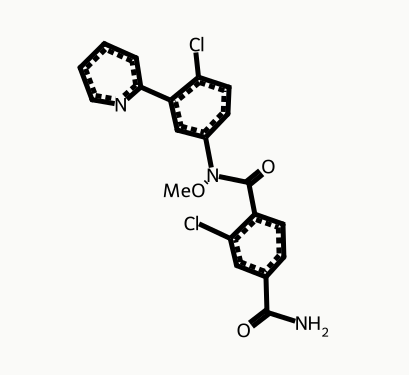 CON(C(=O)c1ccc(C(N)=O)cc1Cl)c1ccc(Cl)c(-c2ccccn2)c1